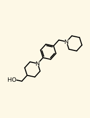 OCC1CCN(c2ccc(CN3CCCCC3)cc2)CC1